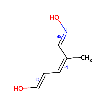 CC(=C/C=C/O)/C=N/O